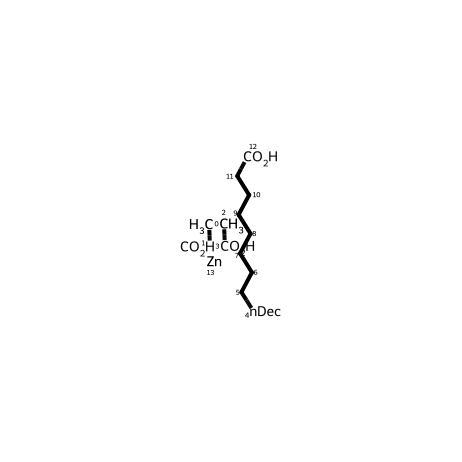 CC(=O)O.CC(=O)O.CCCCCCCCCCCCCCCCCC(=O)O.[Zn]